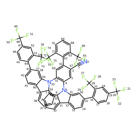 N#Cc1cc(-n2c3ccccc3c3ccc(-c4ccc(C(F)(F)F)cc4C(F)(F)F)cc32)c(-n2c3ccccc3c3ccc(-c4ccc(C(F)(F)F)cc4C(F)(F)F)cc32)cc1-c1c(C(F)(F)F)cccc1C(F)(F)F